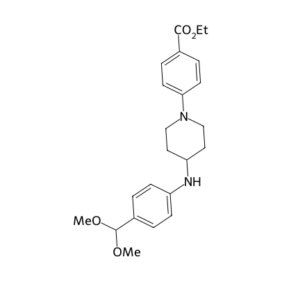 CCOC(=O)c1ccc(N2CCC(Nc3ccc(C(OC)OC)cc3)CC2)cc1